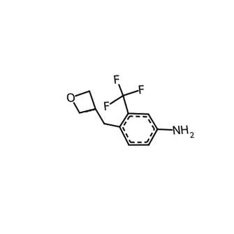 CC1(Cc2ccc(N)cc2C(F)(F)F)COC1